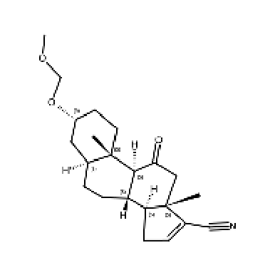 COCO[C@@H]1CC[C@@]2(C)[C@@H](CC[C@@H]3[C@@H]2C(=O)C[C@]2(C)C(C#N)=CC[C@@H]32)C1